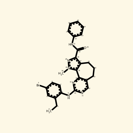 CCc1cc(Br)ccc1Nc1ncc2c(n1)-c1c(c(C(=O)Nc3ccccc3)nn1C)CCC2